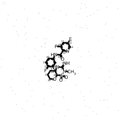 CN1C(=N)N[C@@]2(c3cc(NC(=O)c4ncc(F)cc4F)ccc3F)CCCOC2S1(=O)=O